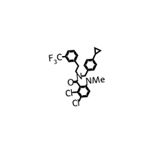 CNc1ccc(Cl)c(Cl)c1C(=O)N(CCc1cccc(C(F)(F)F)c1)Cc1ccc(C2CC2)cc1